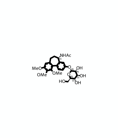 COc1cc2c(c(OC)c1OC)-c1ccc(O[C@H]3O[C@H](CO)[C@@H](O)[C@H](O)[C@H]3O)cc1[C@@H](NC(C)=O)CC2